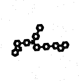 c1ccc(-c2ccc(N(c3ccc(-c4cccc5c4sc4ccccc45)cc3)c3cccc(-c4ccc(-c5ccc6c(ccc7ccccc76)c5)cc4)c3)cc2)cc1